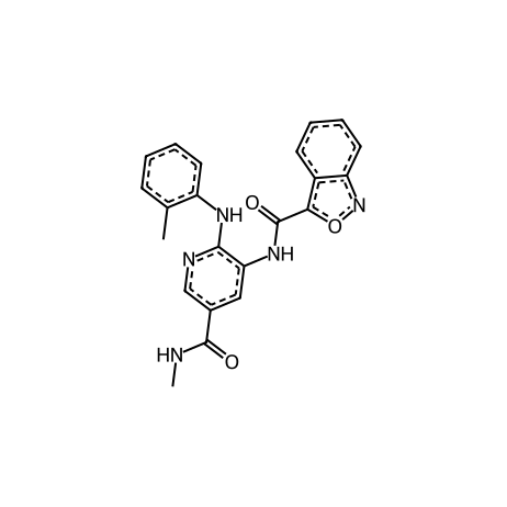 CNC(=O)c1cnc(Nc2ccccc2C)c(NC(=O)c2onc3ccccc23)c1